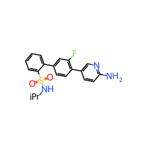 CC(C)NS(=O)(=O)c1ccccc1-c1ccc(-c2ccc(N)nc2)c(F)c1